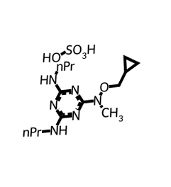 CCCNc1nc(NCCC)nc(N(C)OCC2CC2)n1.O=S(=O)(O)O